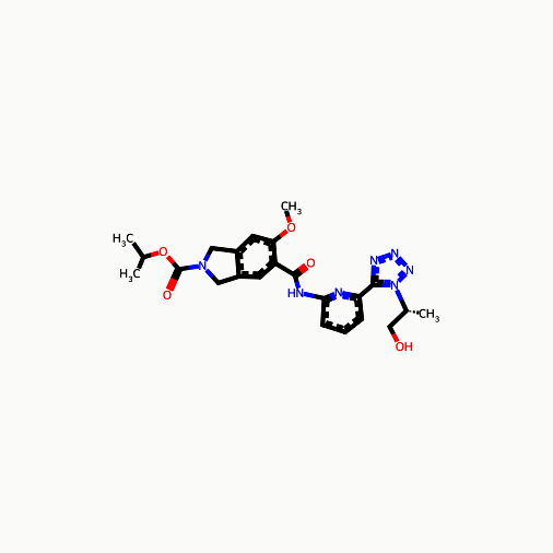 COc1cc2c(cc1C(=O)Nc1cccc(-c3nnnn3[C@H](C)CO)n1)CN(C(=O)OC(C)C)C2